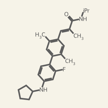 C/C(=C\c1cc(C)c(-c2ccc(NC3CCCC3)cc2F)cc1C)C(=O)NC(C)C